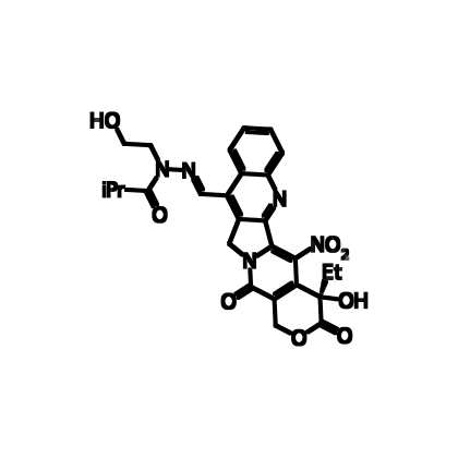 CC[C@@]1(O)C(=O)OCc2c1c([N+](=O)[O-])c1n(c2=O)Cc2c-1nc1ccccc1c2/C=N/N(CCO)C(=O)C(C)C